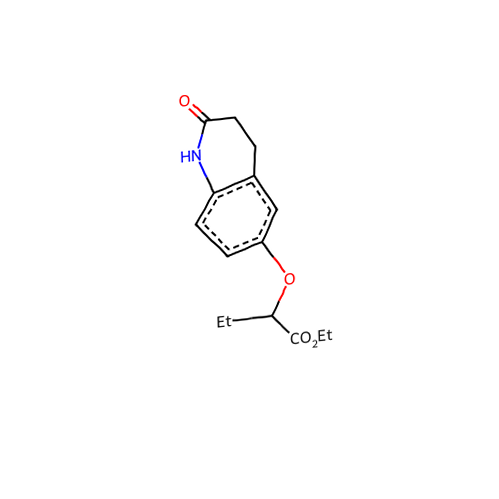 CCOC(=O)C(CC)Oc1ccc2c(c1)CCC(=O)N2